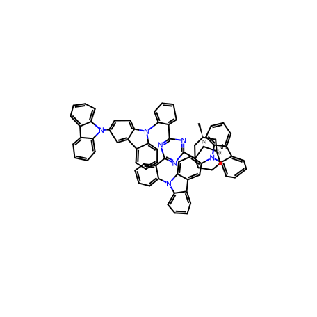 C[C@H]1C[C@H]2CCCC(c3nc(-c4ccccc4-n4c5ccccc5c5cc(-n6c7ccccc7c7ccccc76)ccc54)nc(-c4ccccc4-n4c5ccccc5c5cc(-n6c7ccccc7c7ccccc76)ccc54)n3)(C1)C2